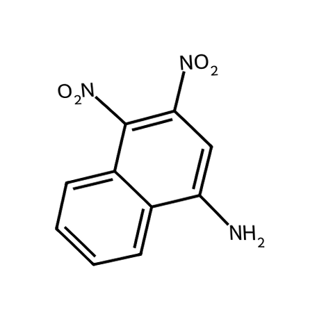 Nc1cc([N+](=O)[O-])c([N+](=O)[O-])c2ccccc12